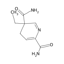 CCC1(C(N)=O)C=NC(C(N)=O)=CC1